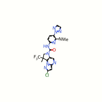 CNc1nc(NC(=O)N2CC(C)(C(F)(F)F)c3c2cnc2cc(Cl)nn32)ccc1-n1nccn1